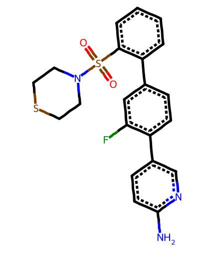 Nc1ccc(-c2ccc(-c3ccccc3S(=O)(=O)N3CCSCC3)cc2F)cn1